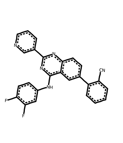 N#Cc1ccccc1-c1ccc2nc(-c3cccnc3)nc(Nc3ccc(F)c(F)c3)c2c1